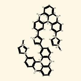 C[n+]1ccn(-c2ccc3c(c2)B2c4cc(-c5coc(-c6ccc7c(c6)B6c8cc(-n9cc[n+](C)c9)ccc8Oc8cccc(c86)O7)c5)ccc4Oc4cccc(c42)O3)c1